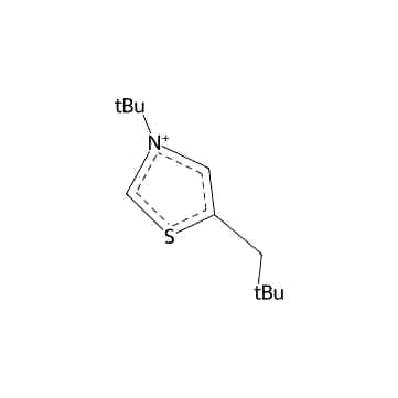 CC(C)(C)Cc1c[n+](C(C)(C)C)cs1